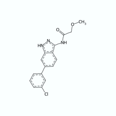 COCC(=O)Nc1n[nH]c2cc(-c3cccc(Cl)c3)ccc12